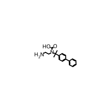 CC(C)(c1ccc(-c2ccccc2)cc1)N(CCN)C(=O)O